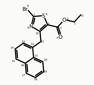 CCOC(=O)c1sc(Br)nc1Cc1cccc2ccccc12